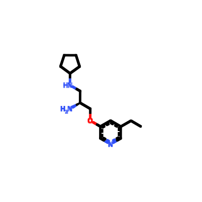 CCc1cncc(OC[C@@H](N)CNC2CCCC2)c1